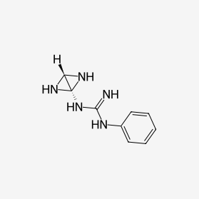 N=C(Nc1ccccc1)N[C@]12N[C@@H]1N2